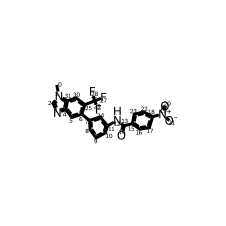 Cn1cnc2cc(-c3cccc(NC(=O)c4ccc([N+](=O)[O-])cc4)c3)c(C(F)(F)F)cc21